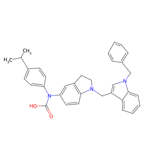 CC(C)c1ccc(N(C(=O)O)c2ccc3c(c2)CCN3Cc2cn(Cc3ccccc3)c3ccccc23)cc1